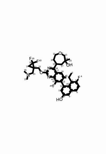 CCc1c(F)ccc2cc(O)cc(-c3c(F)cc4c(C5CCOCC(C)(O)C5)nc(OCC5(CN(C)C)CC5(F)F)nc4c3F)c12